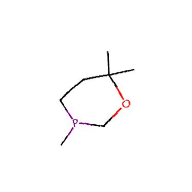 CP1CCC(C)(C)OC1